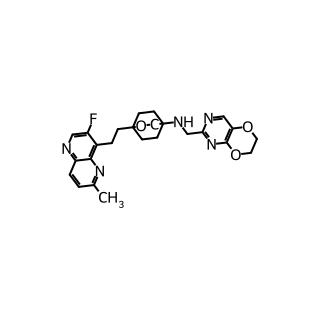 Cc1ccc2ncc(F)c(CCC34CCC(NCc5ncc6c(n5)OCCO6)(CC3)CO4)c2n1